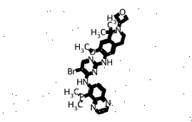 COc1cc2c(cc1Nc1ncc(Br)c(Nc3ccc4nccnc4c3P(C)C)n1)CCN(C1COC1)C2(C)C